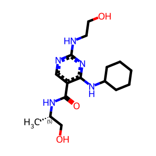 C[C@@H](CO)NC(=O)c1cnc(NCCO)nc1NC1CCCCC1